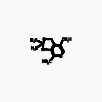 CC1(C)OCc2c(C(=O)O)cnc(C(=O)O)c2O1